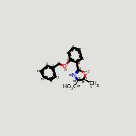 C[C@@H]1OC(c2ccccc2OCc2ccccc2)=N[C@H]1C(=O)O